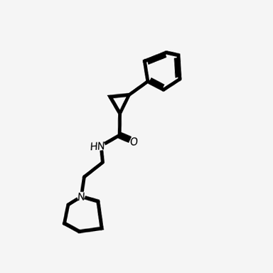 O=C(NCCN1CCCCC1)C1CC1c1ccccc1